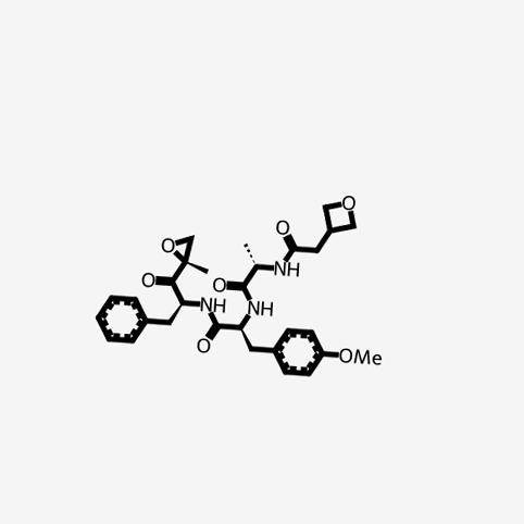 COc1ccc(C[C@H](NC(=O)[C@H](C)NC(=O)CC2COC2)C(=O)N[C@@H](Cc2ccccc2)C(=O)[C@@]2(C)CO2)cc1